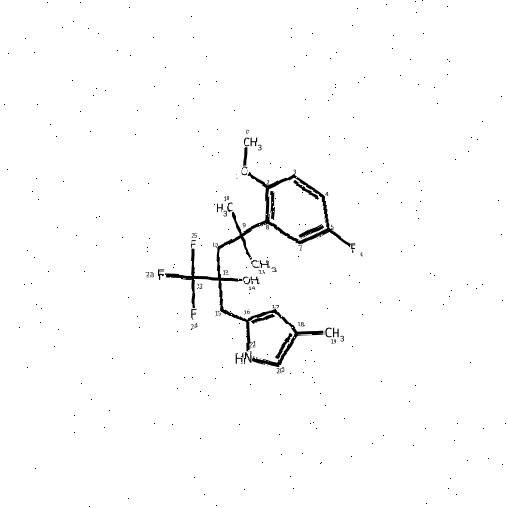 COc1ccc(F)cc1C(C)(C)CC(O)(Cc1cc(C)c[nH]1)C(F)(F)F